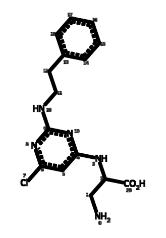 NCC(Nc1cc(Cl)nc(NCCc2ccccc2)n1)C(=O)O